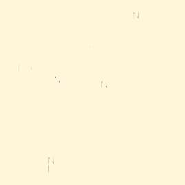 CN(c1nc2cccnc2s1)C1CCNCC1